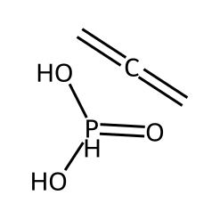 C=C=C.O=[PH](O)O